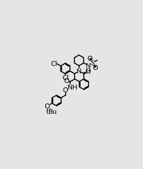 CC(C)(C)Oc1ccc(CONC(=O)C2c3ccccc3C(=O)N(C3CCCCC3NS(C)(=O)=O)C2c2ccc(Cl)cc2Cl)cc1